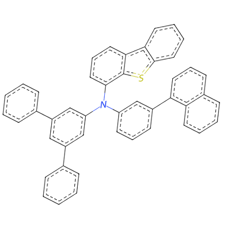 c1ccc(-c2cc(-c3ccccc3)cc(N(c3cccc(-c4cccc5ccccc45)c3)c3cccc4c3sc3ccccc34)c2)cc1